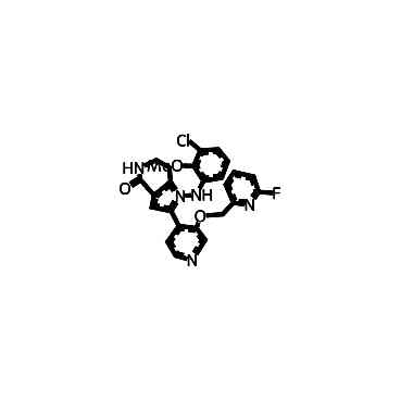 COc1c(Cl)cccc1Nn1c(-c2ccncc2OCc2cccc(F)n2)cc2c1CCNC2=O